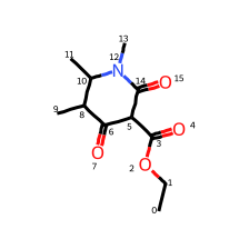 CCOC(=O)C1C(=O)C(C)C(C)N(C)C1=O